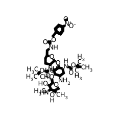 CNC1C(O)C(OC2C(N)CC(NC(=O)OC(C)(C)C)C(OC3OC(CNC(=O)OCc4ccc([N+](=O)[O-])cc4)CCC3NC(=O)OC(C)(C)C)C2O)OCC1(C)O